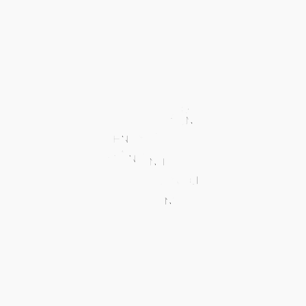 Cc1noc(C)c1-c1ccc2[nH]c(=O)nc(NCc3cncc(Cl)c3)c2c1